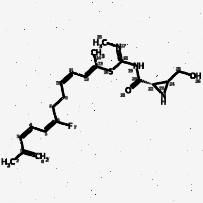 C=C(C)/C=C\C=C(\F)CC/C=C\C=C(/C)S/C(=N\C)NC(=O)[C@H]1NC1CO